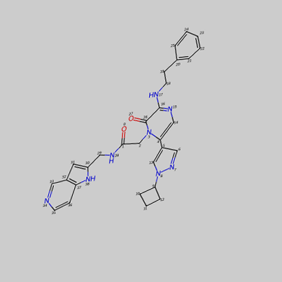 O=C(Cn1c(-c2cnn(C3CCC3)c2)cnc(NCCc2ccccc2)c1=O)NCc1cc2cnccc2[nH]1